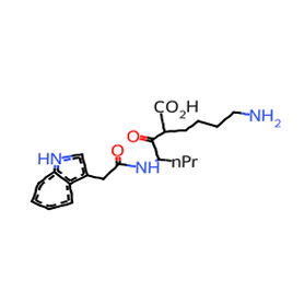 CCCC(NC(=O)Cc1c[nH]c2ccccc12)C(=O)C(CCCCN)C(=O)O